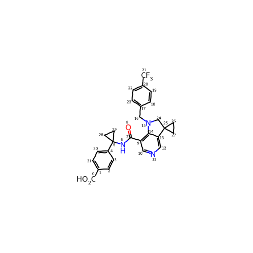 O=C(O)c1ccc(C2(NC(=O)c3cncc4c3N(Cc3ccc(C(F)(F)F)cc3)CC43CC3)CC2)cc1